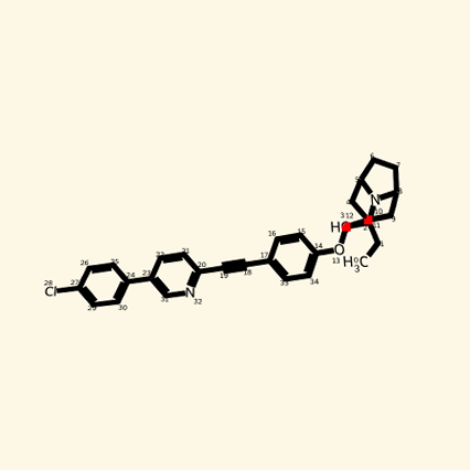 CCC1(O)CC2CCC(C1)N2CCOc1ccc(C#Cc2ccc(-c3ccc(Cl)cc3)cn2)cc1